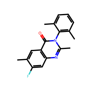 Cc1cc2c(=O)n(-c3c(C)cccc3C)c(C)nc2cc1F